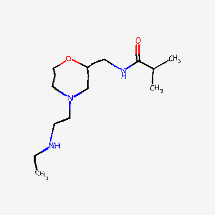 CCNCCN1CCOC(CNC(=O)C(C)C)C1